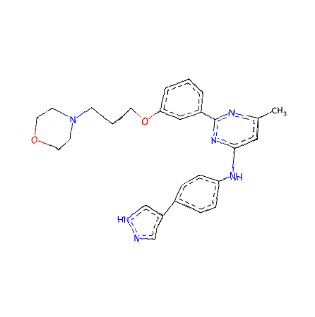 Cc1cc(Nc2ccc(-c3cn[nH]c3)cc2)nc(-c2cccc(OCCCN3CCOCC3)c2)n1